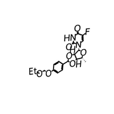 CCOCOc1ccc(C2O[C@@H]3[C@H](O2)[C@@H](C)O[C@H]3n2cc(F)c(=O)[nH]c2=O)cc1